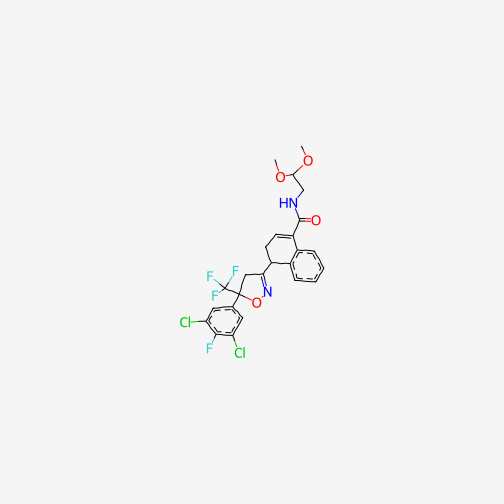 COC(CNC(=O)C1=CCC(C2=NOC(c3cc(Cl)c(F)c(Cl)c3)(C(F)(F)F)C2)c2ccccc21)OC